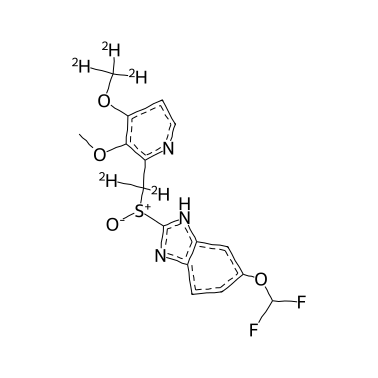 [2H]C([2H])([2H])Oc1ccnc(C([2H])([2H])[S+]([O-])c2nc3ccc(OC(F)F)cc3[nH]2)c1OC